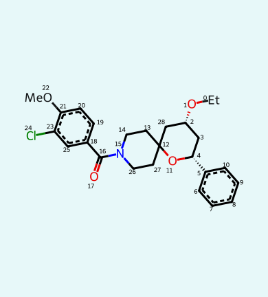 CCO[C@@H]1C[C@H](c2ccccc2)OC2(CCN(C(=O)c3ccc(OC)c(Cl)c3)CC2)C1